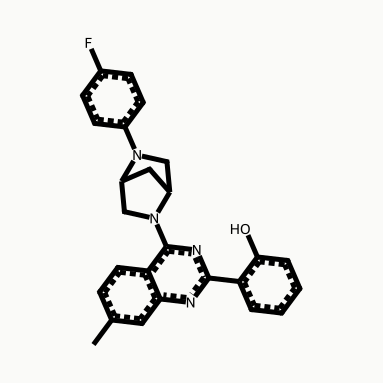 Cc1ccc2c(N3CC4CC3CN4c3ccc(F)cc3)nc(-c3ccccc3O)nc2c1